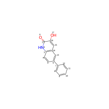 O=c1[nH]c2ccc(-c3ccccc3)cc2cc1O